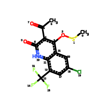 CSOc1c(C(C)=O)c(=O)[nH]c2c(C(F)(F)F)cc(Cl)cc12